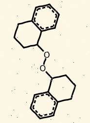 c1ccc2c(c1)CCCC2OOC1CCCc2ccccc21